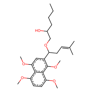 CCCCC(O)COC(CC=C(C)C)c1cc(OC)c2c(OC)ccc(OC)c2c1OC